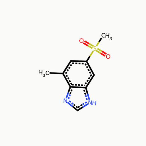 Cc1cc(S(C)(=O)=O)cc2[nH]cnc12